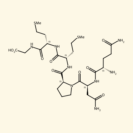 CSCC[C@H](NC(=O)[C@H](CCSC)NC(=O)[C@@H]1CCCN1C(=O)[C@H](CC(N)=O)NC(=O)[C@@H](N)CCC(N)=O)C(=O)NCC(=O)O